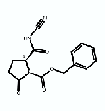 N#CNC(=O)[C@@H]1CCC(=O)N1C(=O)OCc1ccccc1